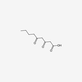 CCCCC(=O)CC(=O)CC(=O)O